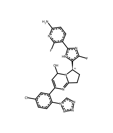 Nc1ccc(-c2nc(F)c([C@H]3CCC4=NC(c5cc(Cl)ccc5-n5cnnn5)=CC(O)N43)[nH]2)c(F)n1